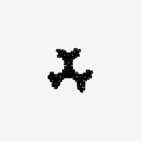 CC(C)(C)c1ccc(N(c2ccc(C3=NC4=NC(c5ccc(N(c6ccc(C(C)(C)C)cc6)c6ccc(C(C)(C)C)cc6)cc5)=NC5=NC(c6ccc(N(c7ccccc7)C7C=CC=CC7)cc6)=NC(=N3)N45)cc2)c2ccc(C(C)(C)C)cc2)cc1